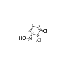 ON=C1[C]=CC=C(Cl)C1Cl